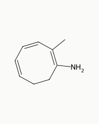 CC1=C(N)CCC=CC=C1